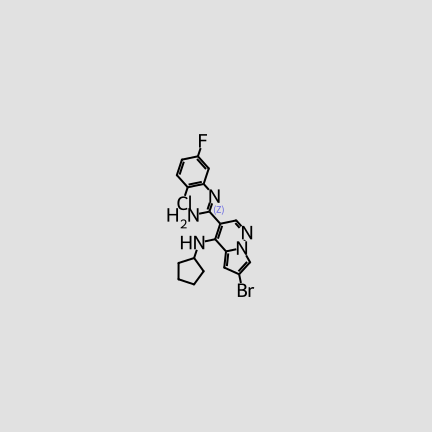 N/C(=N\c1cc(F)ccc1Cl)c1cnn2cc(Br)cc2c1NC1CCCC1